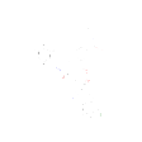 CCCN(CCC)C(=O)c1cc(C)cc(C(=O)C(C[C@@H](O)[C@@H](N)Cc2cc(F)cc(F)c2)[C@@H](C)C(=O)NCc2ccccc2)c1